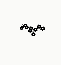 C1=CC2c3c(oc4ccccc34)C=CC2C=C1c1cccc2c(N(c3ccccc3)c3ccc(-c4cccc5c4oc4ccccc45)cc3)cccc12